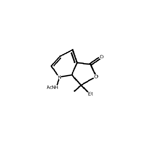 CCC1(C)OC(=O)C2=CC=CN(NC(C)=O)C21